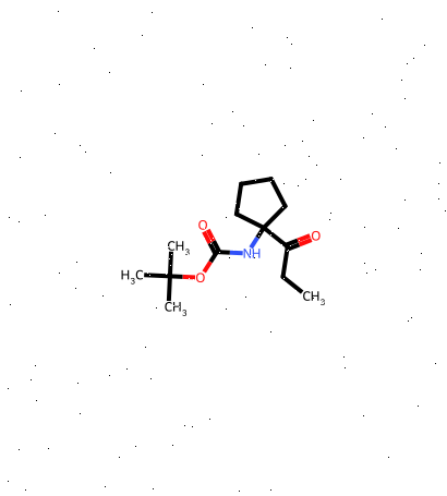 CCC(=O)C1(NC(=O)OC(C)(C)C)CCCC1